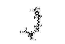 B[C@H]1C[C@@H](OCSSC(C)(C)CNC(=O)CCCCNC(=O)c2ccc(B(O)O)cc2)C(COPO)O1